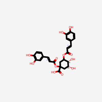 O=C(/C=C/c1ccc(O)c(O)c1)OC1CC(OC(=O)/C=C/c2ccc(O)c(O)c2)(C(=O)O)C[C@@H](O)[C@H]1O